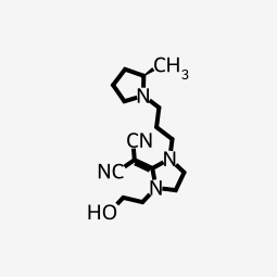 C[C@@H]1CCCN1CCCN1CCN(CCO)C1=C(C#N)C#N